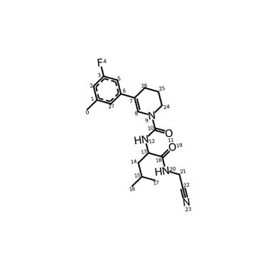 Cc1cc(F)cc(C2=CN(C(=O)NC(CC(C)C)C(=O)NCC#N)CCC2)c1